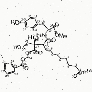 CCCCCCCC(=O)CCCCCC/C=C/[C@H](C(=O)N[C@@H](Cc1ccc(O)cc1)C(=O)OC)[C@@](O)(CC(=O)O)C(=O)OCOC(=O)c1ccccc1